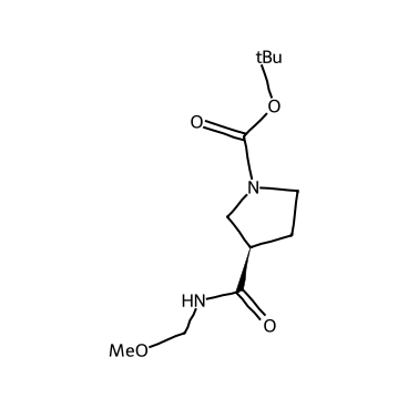 COCNC(=O)[C@@H]1CCN(C(=O)OC(C)(C)C)C1